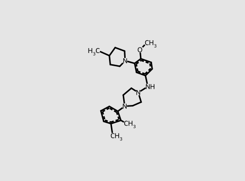 COc1ccc(NN2CCN(c3cccc(C)c3C)CC2)cc1N1CCC(C)CC1